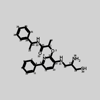 CC(Oc1nc(-c2ccccc2)ccc1NCC(N)CS)C(=O)NC(C)c1ccccc1